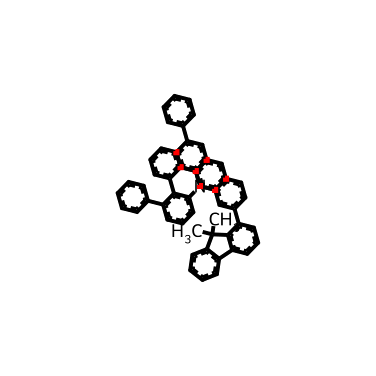 CC1(C)c2ccccc2-c2cccc(-c3cccc(N(c4ccc(-c5ccccc5)cc4)c4cccc(-c5ccccc5)c4-c4ccccc4-c4ccccc4)c3)c21